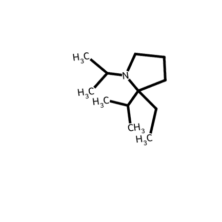 CCC1(C(C)C)CCCN1C(C)C